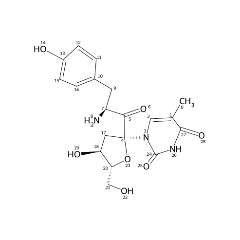 Cc1cn([C@@]2(C(=O)[C@@H](N)Cc3ccc(O)cc3)C[C@H](O)[C@@H](CO)O2)c(=O)[nH]c1=O